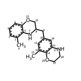 Cc1cccc2c1NC(Cc1cc(C)c3c(c1)NCCO3)CO2